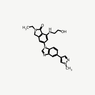 CCN1Cc2cc(-n3cnc4cc(-c5cnn(C)c5)ccc43)cc(NCCO)c2C1=O